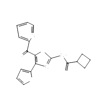 O=C(c1ccccn1)c1sc(NC(=O)C2CCC2)nc1-c1ccco1